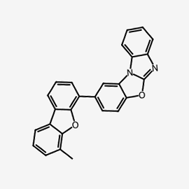 Cc1cccc2c1oc1c(-c3ccc4oc5nc6ccccc6n5c4c3)cccc12